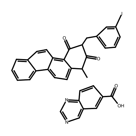 CC1C(=O)C(Cc2cccc(I)c2)C(=O)c2c1ccc1c2ccc2ccccc21.O=C(O)c1ccc2ncncc2c1